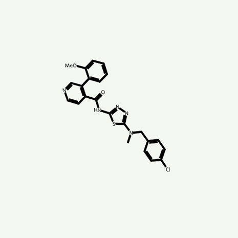 COc1ccccc1-c1cnccc1C(=O)Nc1nnc(N(C)Cc2ccc(Cl)cc2)s1